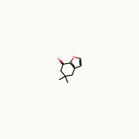 CC1(C)CC(=O)c2occc2C1